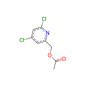 CC(=O)OCc1cc(Cl)cc(Cl)n1